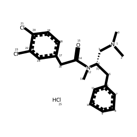 CN(C)C[C@H](Cc1ccccc1)N(C)C(=O)Cc1ccc(Cl)c(Cl)c1.Cl